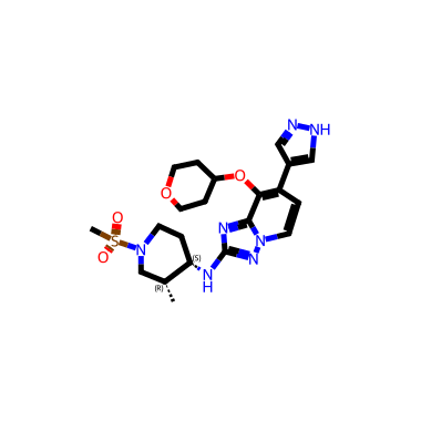 C[C@@H]1CN(S(C)(=O)=O)CC[C@@H]1Nc1nc2c(OC3CCOCC3)c(-c3cn[nH]c3)ccn2n1